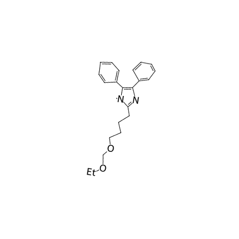 CCOCOCCCCC1=NC(c2ccccc2)=C(c2ccccc2)[N]1